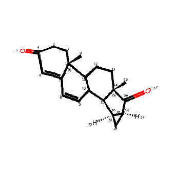 C[C@]12CCC(=O)C=C1C=CC1C2CC[C@]2(C)C(=O)[C@H]3C[C@H]3C12